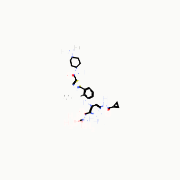 BC(B)(B)NC(=O)/C(N)=C(/C=C(\N)NC(=O)C1CC1)Nc1cccc(-c2ncc(C(=O)NC3CCC(N(CC)CC)CC3)s2)c1OC